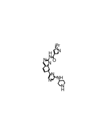 CC(C)n1cc(C(=O)Nc2ncc3ccc(-c4cncc(NC5CCNCC5)n4)cc3n2)cn1